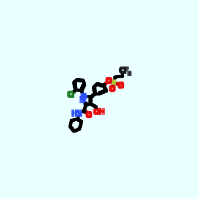 O=C(NC1CCCCC1)c1nn(-c2ccccc2Cl)c(-c2ccc(OS(=O)(=O)CCC(F)(F)F)cc2)c1CO